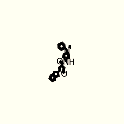 CCN(c1ccccc1)c1ccc(NC(=O)C2CC(=O)N(C3Cc4ccccc4C3)C2)cc1